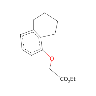 CCOC(=O)COc1cccc2c1CCCC2